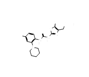 Cc1ccc(NC(=O)Nc2nc(CC(=O)O)c(Cl)s2)c(N2CCCCC2)c1